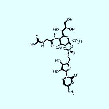 CCCC(=O)NCC(=O)N[C@H]1C([C@H](O)[C@H](O)CO)O[C@](OP(=O)(O)OC[C@H]2O[C@@H](n3ccc(N)nc3=O)[C@@H](O)C2O)(C(=O)O)C[C@H]1O